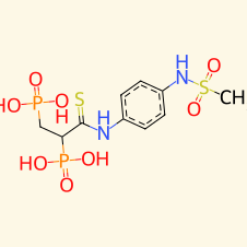 CS(=O)(=O)Nc1ccc(NC(=S)C(CP(=O)(O)O)P(=O)(O)O)cc1